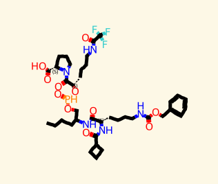 CCCCC(CO[PH](=O)O[C@@H](CCCCNC(=O)C(F)(F)F)C(=O)N1CCC[C@H]1C(=O)O)NC(=O)[C@H](CCCCNC(=O)OCc1ccccc1)NC(=O)C1CCC1